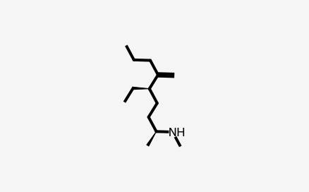 C=C(CCC)[C@H](CC)CC[C@H](C)NC